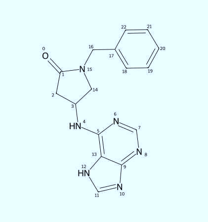 O=C1CC(Nc2ncnc3nc[nH]c23)CN1Cc1ccccc1